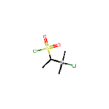 CC([Si](C)(C)Cl)S(=O)(=O)Cl